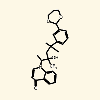 CC(n1ccc(=O)c2ccccc21)C(O)(CC(C)(C)c1cccc(C2OCCCO2)c1)C(F)(F)F